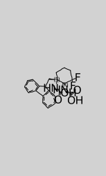 O=C(O)N[C@H]1C(F)(F)CCC[C@@]1(CC1c2ccccc2-c2ccccc21)NC(=O)O